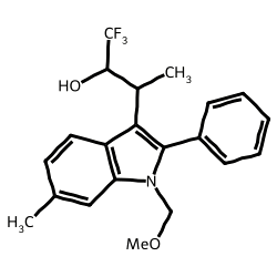 COCn1c(-c2ccccc2)c(C(C)C(O)C(F)(F)F)c2ccc(C)cc21